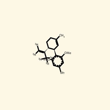 [2H]C([2H])=C([C@@H]1CCC(C)=C[C@H]1c1c(OC)cc(CCC)cc1OC)C([2H])([2H])[2H]